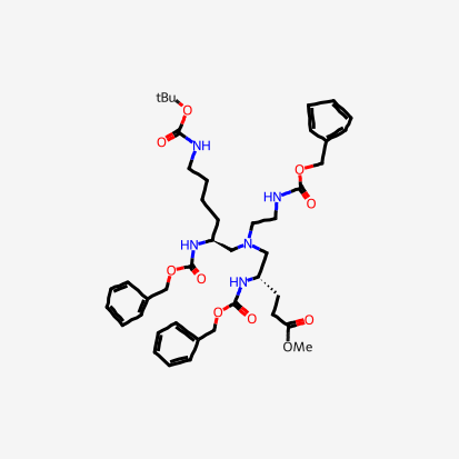 COC(=O)CC[C@@H](CN(CCNC(=O)OCc1ccccc1)C[C@H](CCCCNC(=O)OC(C)(C)C)NC(=O)OCc1ccccc1)NC(=O)OCc1ccccc1